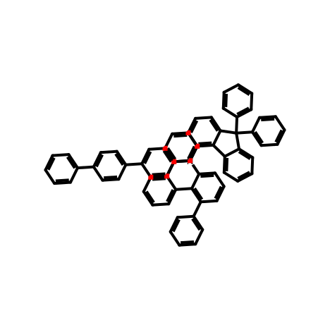 c1ccc(-c2ccc(-c3ccc(N(c4cccc(-c5ccccc5)c4-c4ccccc4-c4ccccc4)c4cccc5c4-c4ccccc4C5(c4ccccc4)c4ccccc4)cc3)cc2)cc1